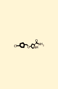 NC(=O)[C@@H]1C[C@H](OCc2ccc(Cl)cc2)CN1